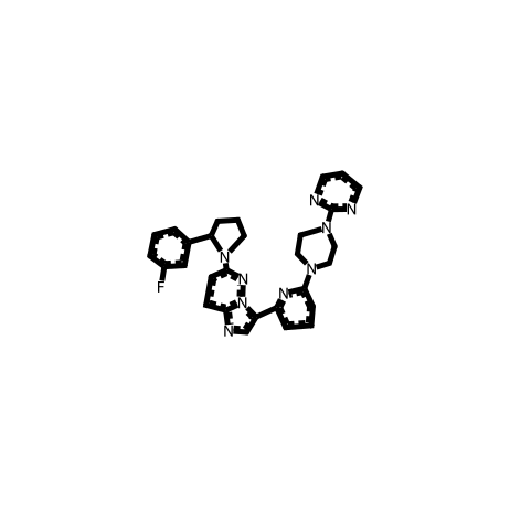 Fc1cccc(C2CCCN2c2ccc3ncc(-c4cccc(N5CCN(c6ncccn6)CC5)n4)n3n2)c1